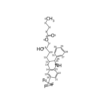 CCCCC(=O)OC[C@@H](O)CCC1Cc2cc(C(F)(F)F)ccc2NC1c1ccccc1